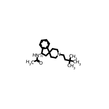 CC(=O)N[C@H]1CC2(CCN(CCC(C)(C)C)CC2)c2ccccc21